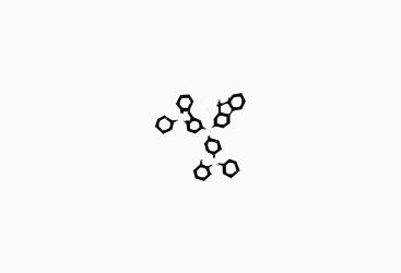 CC1(C)c2ccccc2-c2ccc(N(c3ccc4c(c3)Oc3ccccc3N4c3ccccc3)c3ccc4c(c3)c3ccccc3n4-c3ccccc3)cc21